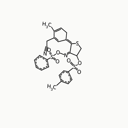 CC1=CCC(=C2SCC(OS(=O)(=O)c3ccc(C)cc3)C2=NOS(=O)(=O)c2ccccc2)C=C1CC#N